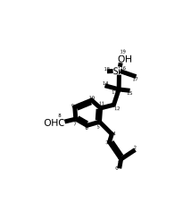 CC(C)=CCc1cc(C=O)ccc1CC(C)(C)[Si](C)(C)O